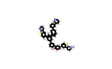 C1=Cc2c(sc3ccc(-c4ccc5oc6ccc(-c7cc(-c8cccc(-c9ccc%10sc%11ncccc%11c%10c9)c8)cc(-c8ccc9sc%10ncccc%10c9c8)c7)cc6c5c4)cc23)NC1